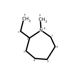 CCC1CCCCCN1C